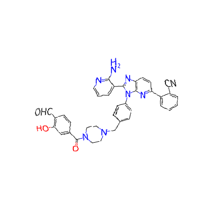 N#Cc1ccccc1-c1ccc2nc(-c3cccnc3N)n(-c3ccc(CN4CCN(C(=O)c5ccc(C=O)c(O)c5)CC4)cc3)c2n1